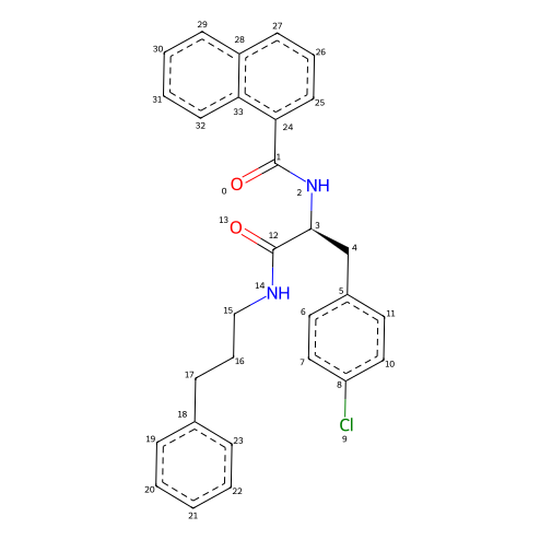 O=C(N[C@@H](Cc1ccc(Cl)cc1)C(=O)NCCCc1ccccc1)c1cccc2ccccc12